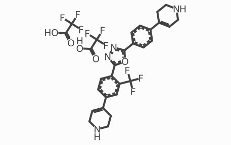 FC(F)(F)c1cc(C2=CCNCC2)ccc1-c1nnc(-c2ccc(C3=CCNCC3)cc2)o1.O=C(O)C(F)(F)F.O=C(O)C(F)(F)F